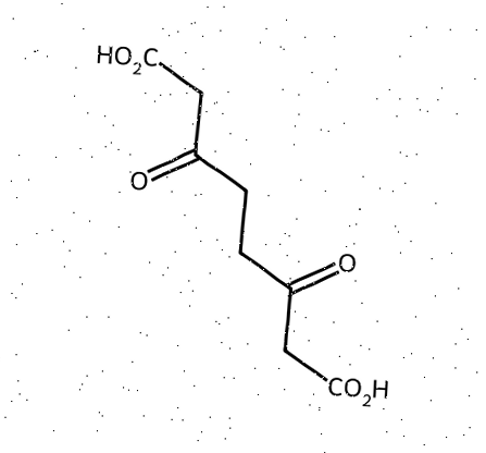 O=C(O)CC(=O)CCC(=O)CC(=O)O